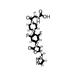 C[C@H](NC(=O)O)C(=O)N1CCN(c2c(F)cc(N3C[C@H](Cn4ccnn4)OC3=O)cc2F)CC1